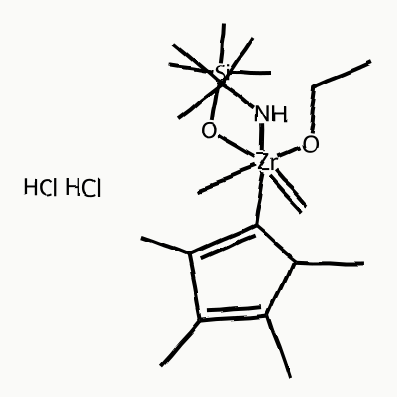 Cl.Cl.[CH2]=[Zr]([CH3])([NH]C(C)(C)C)([O]CC)([O][Si](C)(C)C)[C]1=C(C)C(C)=C(C)C1C